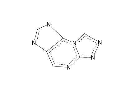 C1=Nc2cnc3nncn3c2[N]1